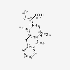 CON([C@@H](Cc1ccccc1)C(=O)N[C@@H](CC(C)C)C(=O)O)[PH](C)=O